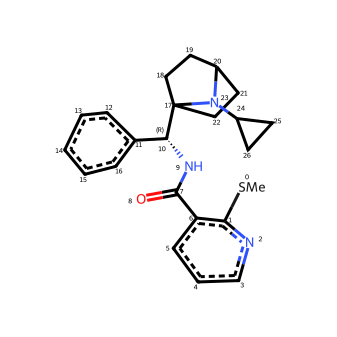 CSc1ncccc1C(=O)N[C@H](c1ccccc1)C12CCC(CC1)N2C1CC1